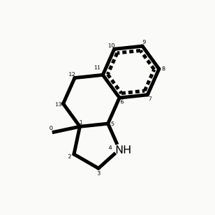 CC12CCNC1c1ccccc1CC2